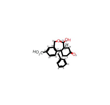 O=C1CC[C@@]2(Cc3ccccc3)c3ccc(C(=O)O)cc3COC(O)[C@H]2C1